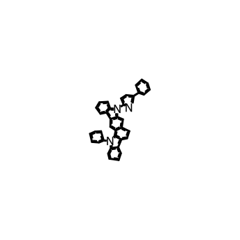 c1ccc(-c2ccc(-n3c4ccccc4c4cc5c(ccc6c7ccccc7n(-c7ccccc7)c56)cc43)nc2)cc1